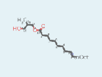 CCCCCCCC/C=C/CCCCCCCC(=O)OCC(C)CO